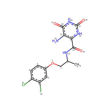 CC(COc1ccc(Cl)c(F)c1)NC(=O)c1[nH]c(=O)[nH]c(=O)c1N